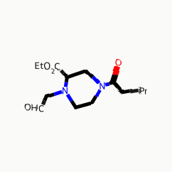 CCOC(=O)C1CN(C(=O)CC(C)C)CCN1CC=O